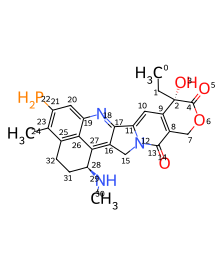 CC[C@@]1(O)C(=O)OCc2c1cc1n(c2=O)Cc2c-1nc1cc(P)c(C)c3c1c2[C@@H](NC)CC3